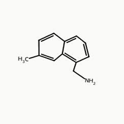 Cc1ccc2cccc(CN)c2c1